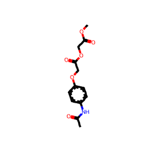 COC(=O)COC(=O)COc1ccc(NC(C)=O)cc1